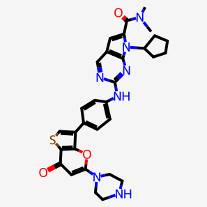 CN(C)C(=O)c1cc2cnc(Nc3ccc(-c4csc5c(=O)cc(N6CCNCC6)oc45)cc3)nc2n1C1CCCC1